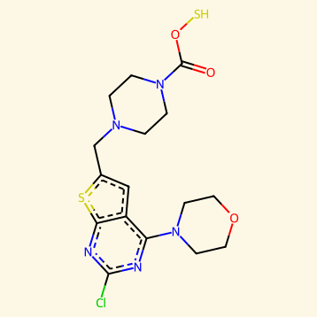 O=C(OS)N1CCN(Cc2cc3c(N4CCOCC4)nc(Cl)nc3s2)CC1